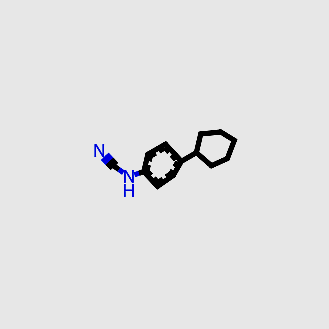 N#CNc1ccc(C2CCCCC2)cc1